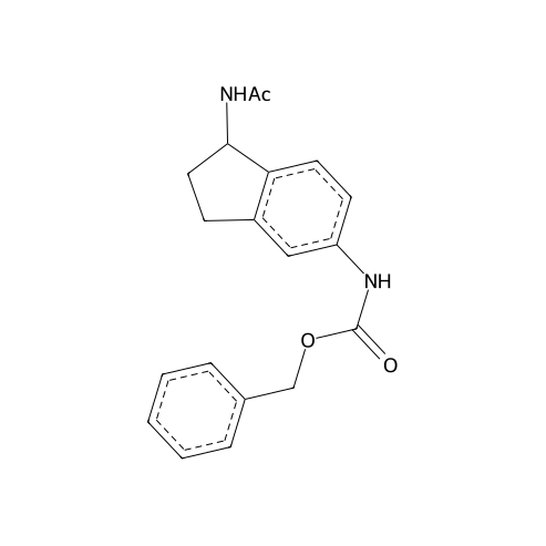 CC(=O)NC1CCc2cc(NC(=O)OCc3ccccc3)ccc21